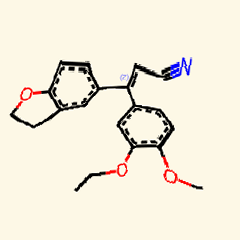 CCOc1cc(/C(=C\C#N)c2ccc3c(c2)CCO3)ccc1OC